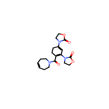 O=C(C1=C(N2CCOC2=O)C=C(N2CCOC2=O)CC1)N1CCC=CCC1